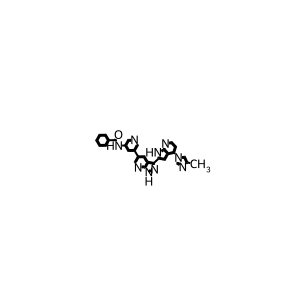 Cc1cn(-c2ccnc3[nH]c(-c4n[nH]c5ncc(-c6cncc(NC(=O)c7ccccc7)c6)cc45)cc23)cn1